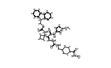 CCNC(=O)C1CCC(CNC(=O)N/N=C(\C(=O)Nc2ccn(C)n2)C2(NC(=O)OCC3c4ccccc4-c4ccccc43)CCC2)CC1